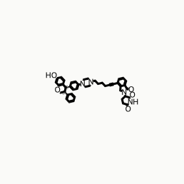 O=C1CCC(N2Cc3c(C#CCCCCN4CCN(c5ccc([C@@H]6c7ccc(O)cc7OC[C@@H]6c6ccccc6)cc5)CC4)cccc3C2=O)C(=O)N1